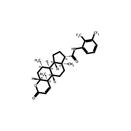 C[C@H]1C[C@H]2OC(=O)C=C[C@]2(C)[C@H]2CC[C@]3(C)[C@@H](C(=O)Nc4cccc(C(F)(F)F)c4C(F)(F)F)CC[C@H]3[C@H]12